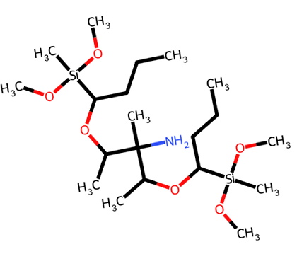 CCCC(OC(C)C(C)(N)C(C)OC(CCC)[Si](C)(OC)OC)[Si](C)(OC)OC